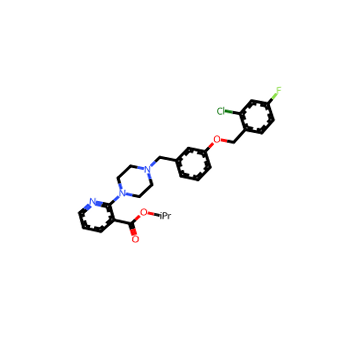 CC(C)OC(=O)c1cccnc1N1CCN(Cc2cccc(OCc3ccc(F)cc3Cl)c2)CC1